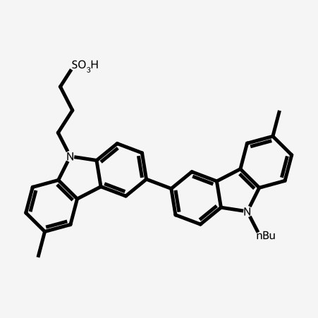 CCCCn1c2ccc(C)cc2c2cc(-c3ccc4c(c3)c3cc(C)ccc3n4CCCS(=O)(=O)O)ccc21